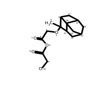 CC1(OCC(=O)OC(=O)CCl)C2CC3CC(C2)CC1C3